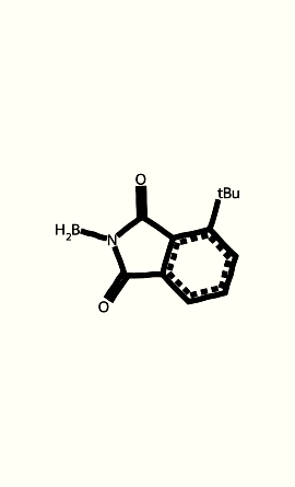 BN1C(=O)c2cccc(C(C)(C)C)c2C1=O